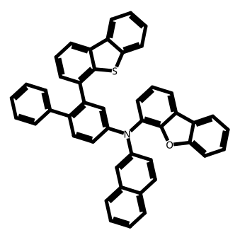 c1ccc(-c2ccc(N(c3ccc4ccccc4c3)c3cccc4c3oc3ccccc34)cc2-c2cccc3c2sc2ccccc23)cc1